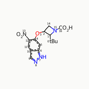 CC(C)(C)C1C(Oc2cc3[nH]ncc3cc2[N+](=O)[O-])CN1C(=O)O